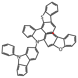 c1ccc(-n2c3ccccc3c3ccc(N(c4ccc5c(c4)oc4ccccc45)c4ccccc4-c4cccc5c4sc4ccccc45)cc32)cc1